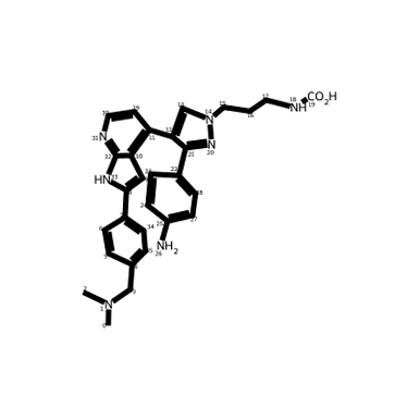 CN(C)Cc1ccc(-c2cc3c(-c4cn(CCCNC(=O)O)nc4-c4ccc(N)cc4)ccnc3[nH]2)cc1